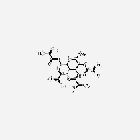 C=C(C)C(=O)OCC1O[C@@H](OC)C(OC(=O)C(=C)C)[C@@H](OC(=O)C(=C)C)[C@@H]1OC(=O)C(=C)C